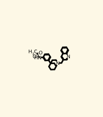 CS(=O)(=O)Nc1cccc(C23CCCC(C2)N(Cc2cnc4ccccc4c2)CC3)c1